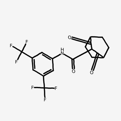 O=C(Nc1cc(C(F)(F)F)cc(C(F)(F)F)c1)C1C(=O)C2CCC(CC2)C1=O